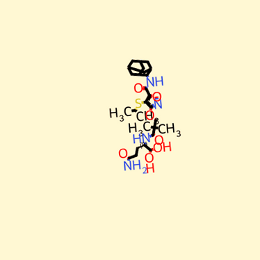 CC(C)Sc1c(OCC(C)(C)C(=O)N[C@H](CCC(N)=O)C(O)O)noc1C(=O)NC1C2CC3CC(C2)CC1C3